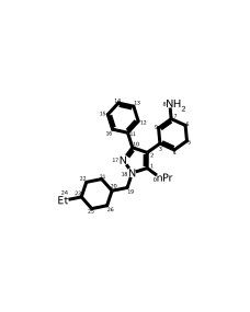 CCCc1c(C2=CCCC(N)=C2)c(-c2ccccc2)nn1CC1CCC(CC)CC1